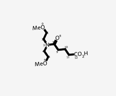 COCCN(CCOC)C(=O)CCCC(=O)O